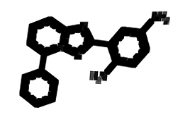 Nc1ccc(N)c(-c2nc3cccc(-c4ccccc4)n3n2)c1